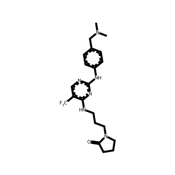 CN(C)Cc1ccc(Nc2ncc(C(F)(F)F)c(NCCCN3CCCC3=O)n2)cc1